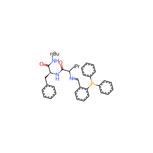 CCCCNC(=O)[C@H](Cc1ccccc1)NC(=O)C(/N=C/c1ccccc1P(c1ccccc1)c1ccccc1)C(C)C